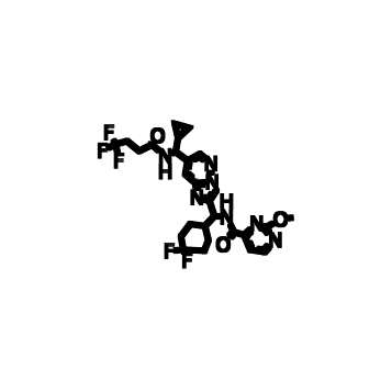 COc1nccc(C(=O)NC(c2cn3ncc(C(NC(=O)CCC(F)(F)F)C4CC4)cc3n2)C2CCC(F)(F)CC2)n1